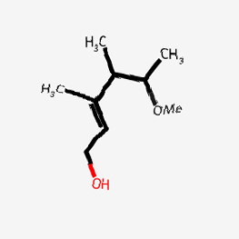 COC(C)C(C)C(C)=CCO